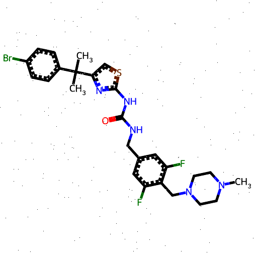 CN1CCN(Cc2c(F)cc(CNC(=O)Nc3nc(C(C)(C)c4ccc(Br)cc4)cs3)cc2F)CC1